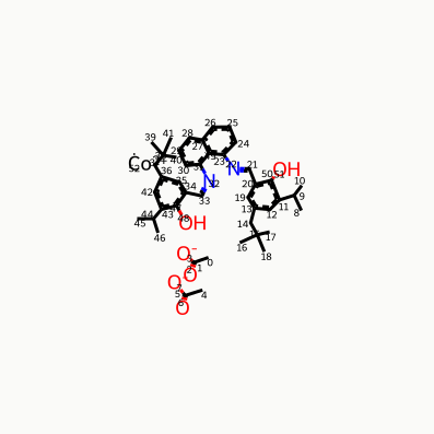 CC(=O)[O-].CC(=O)[O-].CC(C)c1cc(CC(C)(C)C)cc(C=Nc2cccc3cccc(N=Cc4cc(CC(C)(C)C)cc(C(C)C)c4O)c23)c1O.[Co+2]